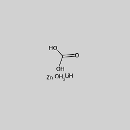 O.O=C(O)O.[LiH].[Zn]